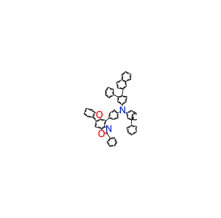 c1ccc(-c2cccc(N(c3ccc(-c4c5nc(-c6ccccc6)oc5cc5c4oc4ccccc45)cc3)c3ccc(-c4ccc5ccccc5c4)c(-c4ccccc4)c3)c2)cc1